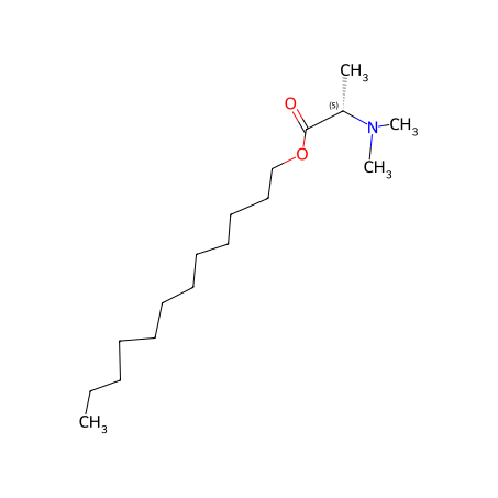 CCCCCCCCCCCCOC(=O)[C@H](C)N(C)C